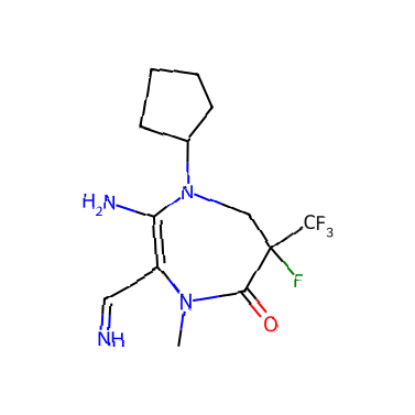 CN1C(=O)C(F)(C(F)(F)F)CN(C2CCCC2)C(N)=C1C=N